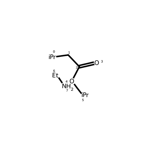 CC(C)CC(=O)OC(C)C.CCN